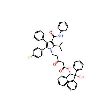 CC(C)c1c(C(=O)Nc2ccccc2)c(-c2ccccc2)c(-c2ccc(F)cc2)n1CCC(=O)CC(=O)O[C@H](c1ccccc1)C(O)(c1ccccc1)c1ccccc1